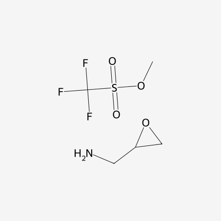 COS(=O)(=O)C(F)(F)F.NCC1CO1